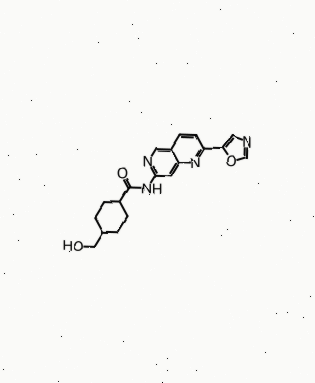 O=C(Nc1cc2nc(-c3cnco3)ccc2cn1)C1CCC(CO)CC1